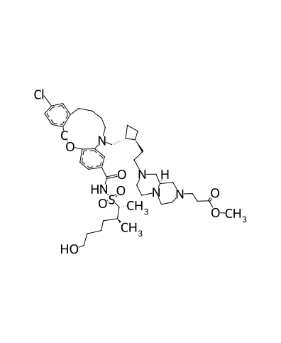 COC(=O)CCN1CCN2CCN(CC[C@@H]3CC[C@H]3CN3CCCCc4cc(Cl)ccc4COc4ccc(C(=O)NS(=O)(=O)[C@H](C)[C@@H](C)CCCCO)cc43)C[C@H]2C1